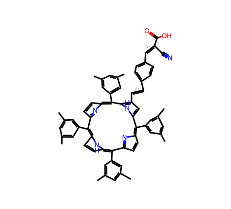 Cc1cc(C)cc(-c2c3nc(c(-c4cc(C)cc(C)c4)c4cc(/C=C/c5ccc(/C=C(\C#N)C(=O)O)cc5)c([nH]4)c(-c4cc(C)cc(C)c4)c4nc(c(-c5cc(C)cc(C)c5)c5ccc2[nH]5)C=C4)C=C3)c1